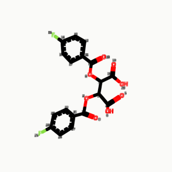 O=C(OC(C(=O)O)C(OC(=O)c1ccc(F)cc1)C(=O)O)c1ccc(F)cc1